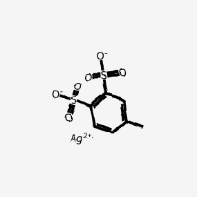 Cc1ccc(S(=O)(=O)[O-])c(S(=O)(=O)[O-])c1.[Ag+2]